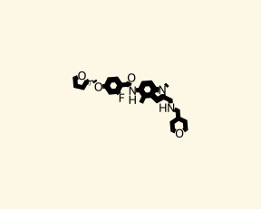 Cc1c(NC(=O)c2ccc(OC[C@@H]3CCCO3)cc2F)ccc2c1cc(CNCC1CCOCC1)n2C